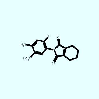 Nc1cc(F)c(N2C(=O)C3=C(CCCC3)C2=O)cc1C(=O)O